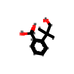 CC(C)(CO)c1ccccc1C(=O)O